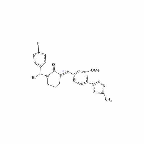 CCC(c1ccc(F)cc1)N1CCC/C(=C\c2ccc(-n3cnc(C)c3)c(OC)c2)C1=O